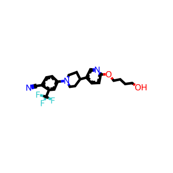 N#Cc1ccc(N2CCC(c3ccc(OCCCCO)nc3)CC2)cc1C(F)(F)F